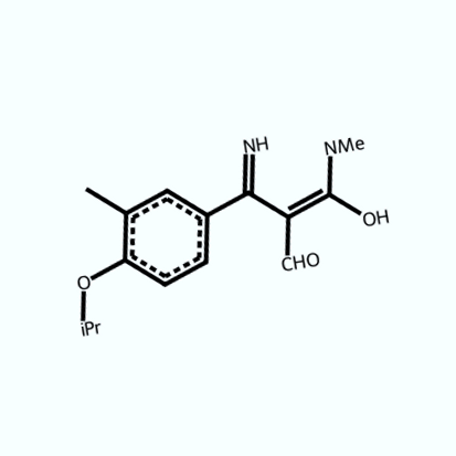 CN/C(O)=C(/C=O)C(=N)c1ccc(OC(C)C)c(C)c1